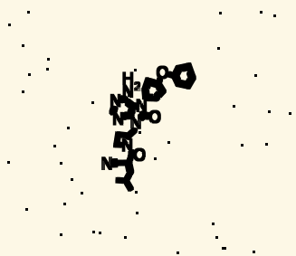 CC(C)C=C(C#N)C(=O)N1CCC1Cn1c(=O)n(-c2ccc(Oc3ccccc3)cc2)c2c(N)ncnc21